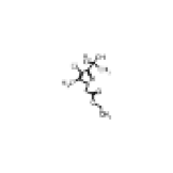 CCOC(=O)Cn1nc(C(C)(C)O)c(Cl)c1C